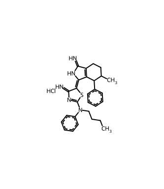 CCCCN(C1=NC(=N)C(=C2NC(=N)C3=C2C(c2ccccc2)C(C)CC3)S1)c1ccccc1.Cl